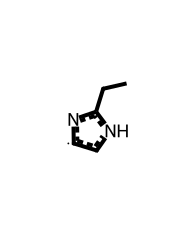 CCc1n[c]c[nH]1